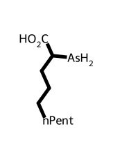 CCCCCCCCC([AsH2])C(=O)O